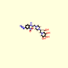 [N-]=[N+]=Nc1ccc(NCCN2CCN(CCN3C[C@H](O)[C@@H](O)[C@H](O)[C@H]3CO)CC2)c([N+](=O)[O-])c1